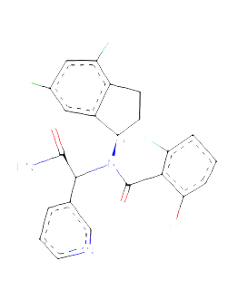 NC(=O)C(c1cccnc1)N(C(=O)c1c(O)cccc1F)[C@@H]1CCc2c(F)cc(Cl)cc21